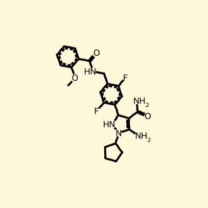 COc1ccccc1C(=O)NCc1cc(F)c(C2NN(C3CCCC3)C(N)=C2C(N)=O)cc1F